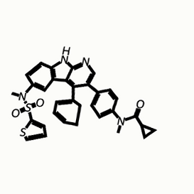 CN(C(=O)C1CC1)c1ccc(-c2cnc3[nH]c4ccc(N(C)S(=O)(=O)c5cccs5)cc4c3c2C2=CC=CCC2)cc1